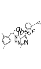 Cc1ccc(CC2CON=C(c3nc(C)ncc3S(=O)(=O)c3cccc(C4CC4)c3F)N2)c(C)c1